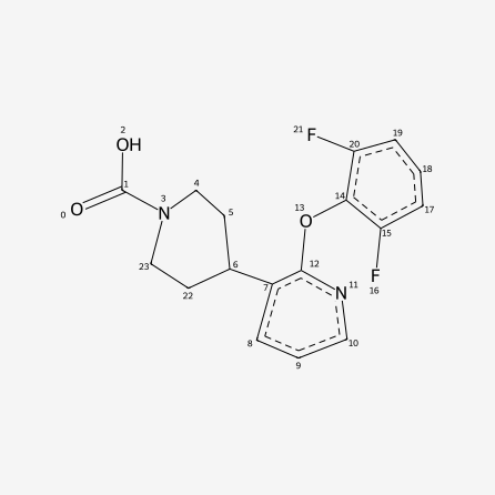 O=C(O)N1CCC(c2cccnc2Oc2c(F)cccc2F)CC1